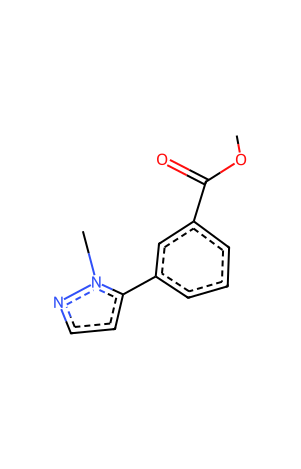 COC(=O)c1cccc(-c2ccnn2C)c1